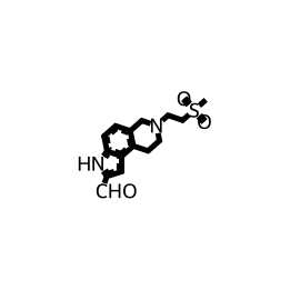 CS(=O)(=O)CCN1CCc2c(ccc3[nH]c(C=O)cc23)C1